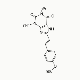 CCCCOc1ccc(C=Cc2nc3c([nH]2)c(=O)n(CCC)c(=O)n3CCC)cc1